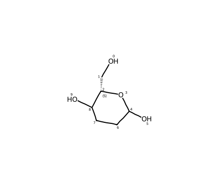 OC[C@@H]1OC(O)CCC1O